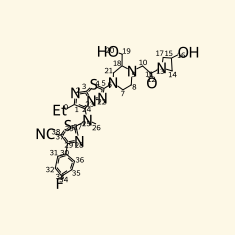 CCc1nc2sc(N3CCN(CC(=O)N4CC(O)C4)C(CO)C3)nn2c1N(C)c1nc(-c2ccc(F)cc2)c(C#N)s1